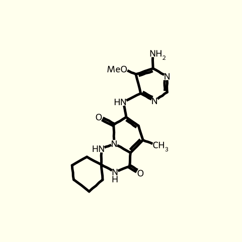 COc1c(N)ncnc1Nc1cc(C)c2n(c1=O)NC1(CCCCC1)NC2=O